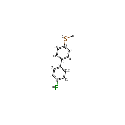 CSc1ccc(-c2[c]cc(F)c[c]2)cc1